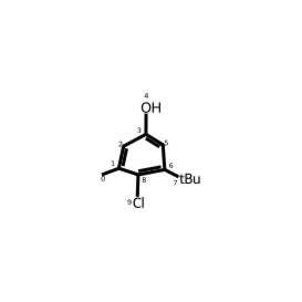 Cc1cc(O)cc(C(C)(C)C)c1Cl